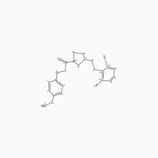 O=C(COc1ccc(CO)cc1)N1CCC(CCc2c(F)cccc2F)C1